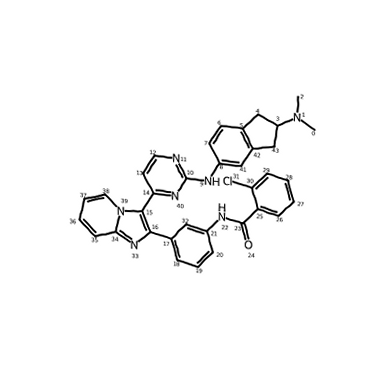 CN(C)C1Cc2ccc(Nc3nccc(-c4c(-c5cccc(NC(=O)c6ccccc6Cl)c5)nc5ccccn45)n3)cc2C1